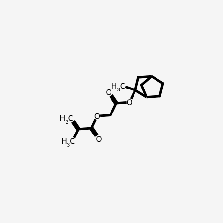 C=C(C)C(=O)OCC(=O)OC1(C)CC2CCC1C2